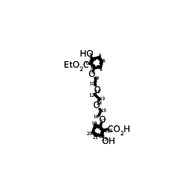 CCOC(=O)c1c(O)cccc1OCCOCCOCCOc1cccc(O)c1C(=O)O